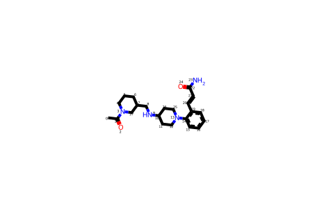 CC(=O)N1CCCC(CNC2CCN(c3ccccc3/C=C/C(N)=O)CC2)C1